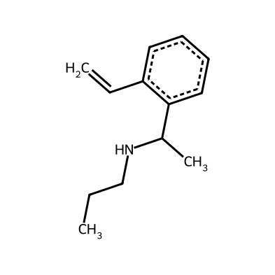 C=Cc1ccccc1C(C)NCCC